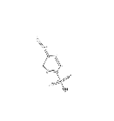 O=C=C1C=CC(S(=O)(=O)O)=CC1